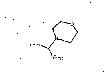 CCCCCCC(CCCCC)N1CCOCC1